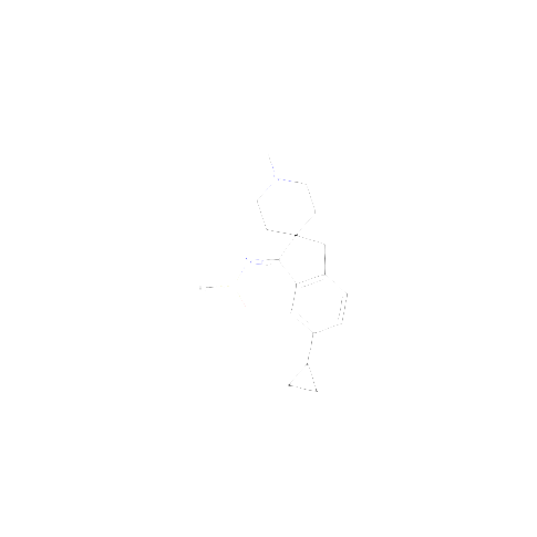 CC(C)(C)[S+]([O-])/N=C1\c2cc(C3CC3)ccc2CC12CCN(C(=O)O)CC2